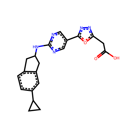 O=C(O)Cc1nnc(-c2cnc(NC3Cc4ccc(C5CC5)cc4C3)nc2)o1